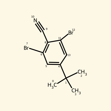 CC(C)(C)c1cc(Br)c(C#N)c(Br)c1